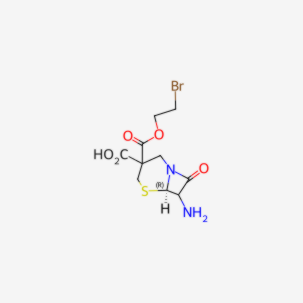 NC1C(=O)N2CC(C(=O)O)(C(=O)OCCBr)CS[C@H]12